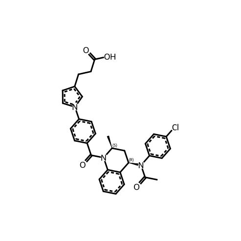 CC(=O)N(c1ccc(Cl)cc1)[C@@H]1C[C@H](C)N(C(=O)c2ccc(-n3ccc(CCC(=O)O)c3)cc2)c2ccccc21